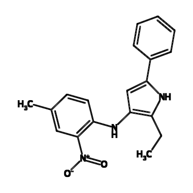 CCc1[nH]c(-c2ccccc2)cc1Nc1ccc(C)cc1[N+](=O)[O-]